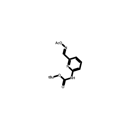 CC(=O)ON=Cc1cccc(NC(=O)OC(C)(C)C)n1